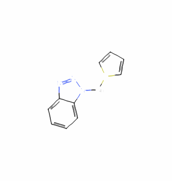 C1=C[SH]([Sn][n]2nnc3ccccc32)C=C1